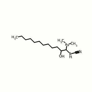 CCCCCCCCCCC(O)C(BC#N)[As](C)C